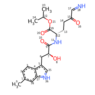 Cc1ccc2c(C[C@H](O)C(=O)N[C@@H](CCC(=O)C=N)C(=O)OC(C)C)c[nH]c2c1